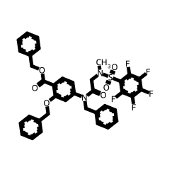 CN(CC(=O)N(Cc1ccccc1)c1ccc(C(=O)OCc2ccccc2)c(OCc2ccccc2)c1)S(=O)(=O)c1c(F)c(F)c(F)c(F)c1F